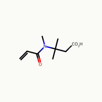 C=CC(=O)N(C)C(C)(C)CC(=O)O